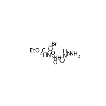 CCOC(=O)CC(NC(=O)CNC(=O)c1cccc(NC=NN)c1)c1ccc(Br)cc1